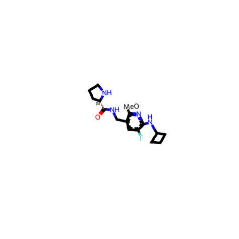 COc1nc(NC2CCC2)c(F)cc1CNC(=O)[C@@H]1CCCN1